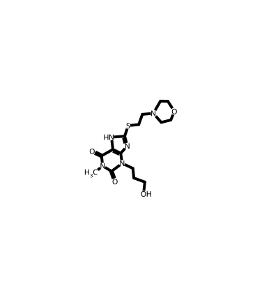 Cn1c(=O)c2[nH]c(SCCN3CCOCC3)nc2n(CCCO)c1=O